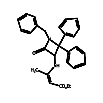 CCOC(=O)/C=C(/C)NC1C(=O)N(Cc2ccccc2)C1(c1ccccc1)c1ccccc1